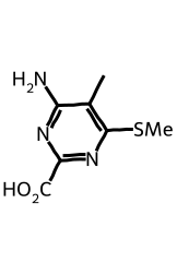 CSc1nc(C(=O)O)nc(N)c1C